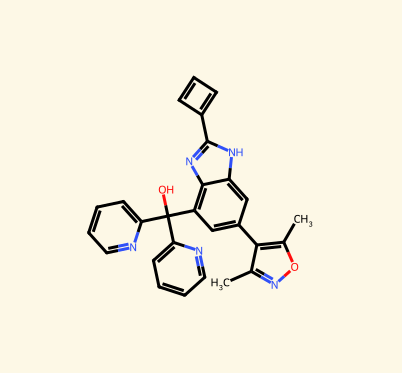 Cc1noc(C)c1-c1cc(C(O)(c2ccccn2)c2ccccn2)c2nc(C3=CC=C3)[nH]c2c1